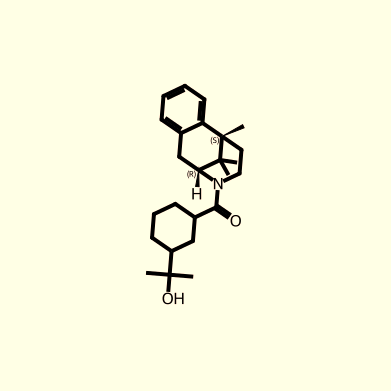 CC(C)(O)C1CCCC(C(=O)N2CC[C@@]3(C)c4ccccc4C[C@@H]2C3(C)C)C1